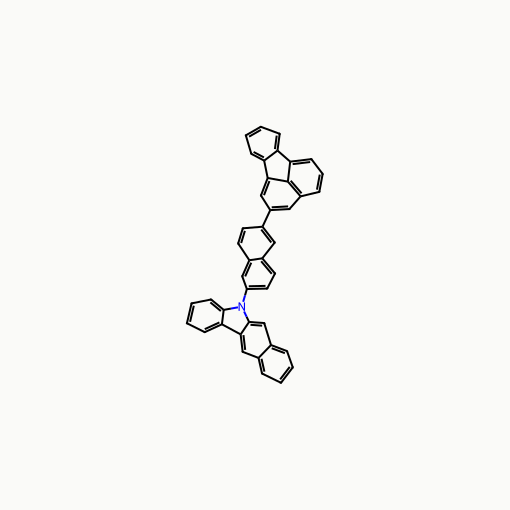 c1ccc2c(c1)-c1cccc3cc(-c4ccc5cc(-n6c7ccccc7c7cc8ccccc8cc76)ccc5c4)cc-2c13